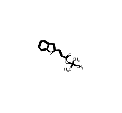 CC(C)(C)OC(=O)C=Cc1cc2ccccc2s1